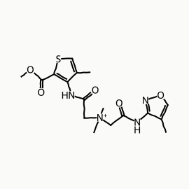 COC(=O)c1scc(C)c1NC(=O)C[N+](C)(C)CC(=O)Nc1nocc1C